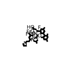 Cc1cc(C)c(-c2cc(C)c(F)c([C@H](CC(=O)O)NC(=O)[C@H](CC(C)C)n3nc(CCN4CCC4)cc(C(F)(F)F)c3=O)c2)c(C)c1